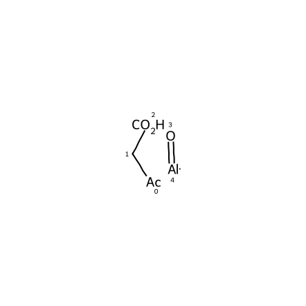 CC(=O)CC(=O)O.[O]=[Al]